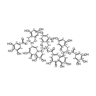 O=C1C(O)=CC([C@H]2Oc3cc(O)cc(O)c3C[C@H]2OC(=O)c2cc(O)c(O)c(O)c2)=CC2C1=C(O)C(O)=CC2[C@H]1Oc2cc(O)cc(O)c2C[C@H]1OC(=O)c1cc(O)c(=O)c2c(O)c(O)cc([C@H]3Oc4cc(O)cc(O)c4C[C@H]3OC(=O)c3cc(O)c(O)c(O)c3)c2c1